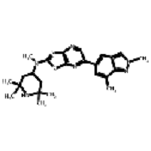 Cc1cc(-c2cnc3nc(N(C)C4CC(C)(C)NC(C)(C)C4)sc3n2)cc2cn(C)nc12